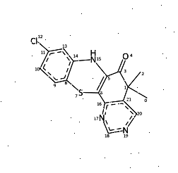 CC1(C)C(=O)C2=C(Sc3ccc(Cl)cc3N2)c2ncncc21